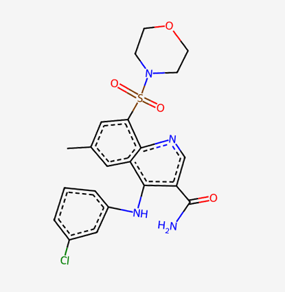 Cc1cc(S(=O)(=O)N2CCOCC2)c2ncc(C(N)=O)c(Nc3cccc(Cl)c3)c2c1